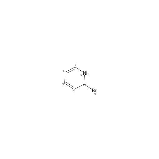 Br[C]1C=CC=CN1